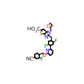 N#Cc1ccc(COc2cccc(-c3cc(F)c(Cc4nc5sc(C(=O)O)cc5n4CC4CCO4)cc3F)n2)c(F)c1